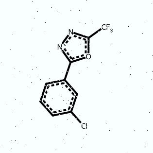 FC(F)(F)c1nnc(-c2cccc(Cl)c2)o1